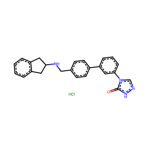 Cl.O=c1[nH]ncn1-c1cccc(-c2ccc(CNC3Cc4ccccc4C3)cc2)c1